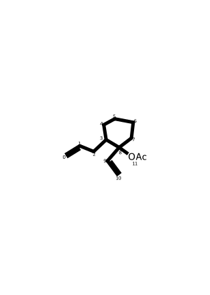 C=CCC1CCCCC1(C=C)OC(C)=O